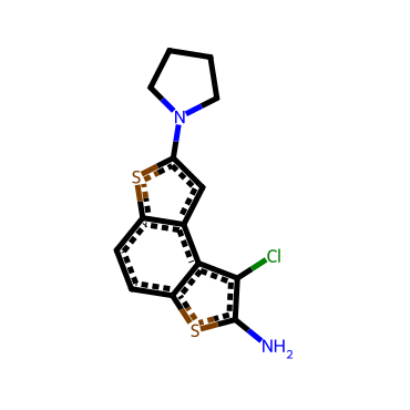 Nc1sc2ccc3sc(N4CCCC4)cc3c2c1Cl